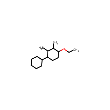 BC1C(OCC)CCC(C2CCCCC2)C1B